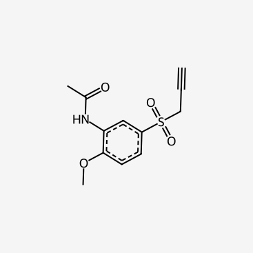 C#CCS(=O)(=O)c1ccc(OC)c(NC(C)=O)c1